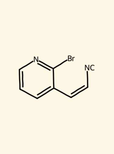 [C-]#[N+]/C=C\c1cccnc1Br